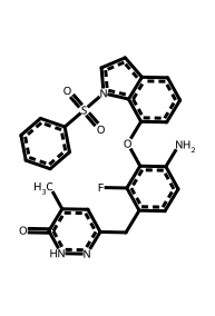 Cc1cc(Cc2ccc(N)c(Oc3cccc4ccn(S(=O)(=O)c5ccccc5)c34)c2F)n[nH]c1=O